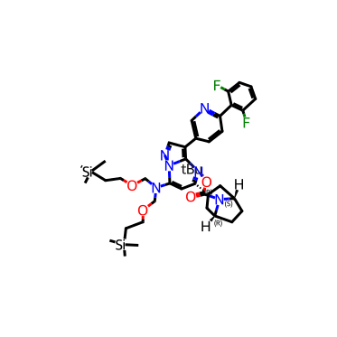 CC(C)(C)OC(=O)N1[C@@H]2CC[C@H]1C[C@@H](c1cc(N(COCC[Si](C)(C)C)COCC[Si](C)(C)C)n3ncc(-c4ccc(-c5c(F)cccc5F)nc4)c3n1)C2